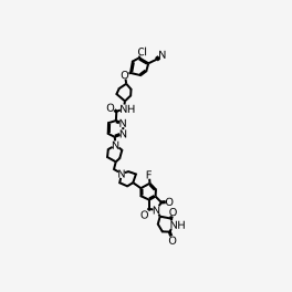 N#Cc1ccc(OC2CCC(NC(=O)c3ccc(N4CCC(CN5CCC(c6cc7c(cc6F)C(=O)N(C6CCC(=O)NC6=O)C7=O)CC5)CC4)nn3)CC2)cc1Cl